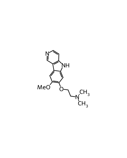 COc1cc2c(cc1OCCN(C)C)[nH]c1ccncc12